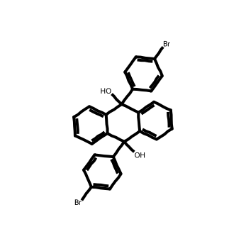 OC1(c2ccc(Br)cc2)c2ccccc2C(O)(c2ccc(Br)cc2)c2ccccc21